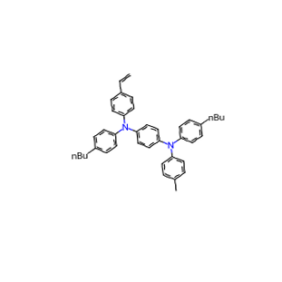 C=Cc1ccc(N(c2ccc(CCCC)cc2)c2ccc(N(c3ccc(C)cc3)c3ccc(CCCC)cc3)cc2)cc1